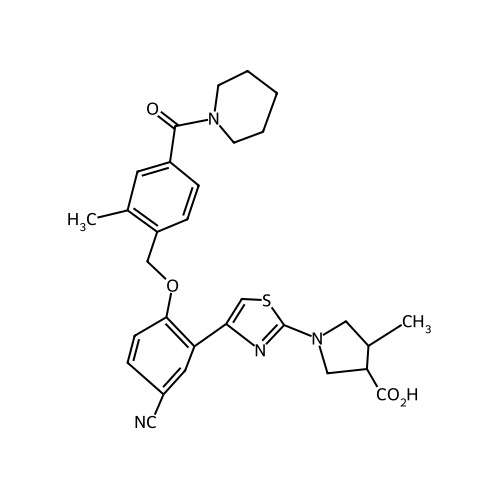 Cc1cc(C(=O)N2CCCCC2)ccc1COc1ccc(C#N)cc1-c1csc(N2CC(C)C(C(=O)O)C2)n1